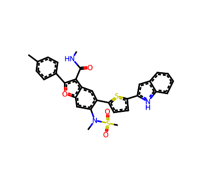 CNC(=O)c1c(-c2ccc(C)cc2)oc2cc(N(C)S(C)(=O)=O)c(-c3ccc(-c4cc5ccccc5[nH]4)s3)cc12